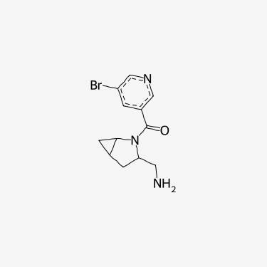 NCC1CC2CC2N1C(=O)c1cncc(Br)c1